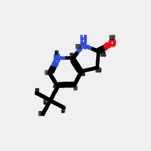 CC(C)(C)c1cnc2c(c1)CC(=O)N2